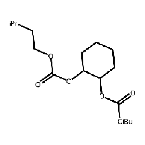 CC(C)CCOC(=O)OC1CCCCC1OC(=O)OCC(C)C